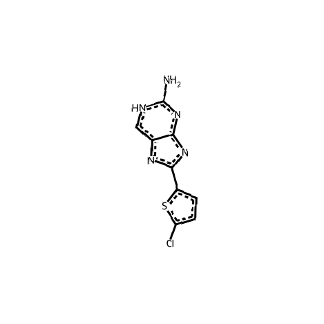 Nc1nc2nc(-c3ccc(Cl)s3)nc-2c[nH]1